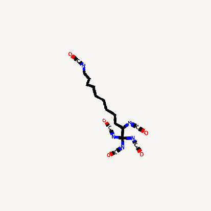 O=C=NCCCCCCCCCC(N=C=O)C(N=C=O)(N=C=O)N=C=O